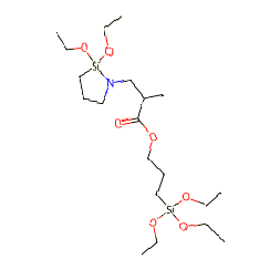 CCO[Si](CCCOC(=O)C(C)CN1CCC[Si]1(OCC)OCC)(OCC)OCC